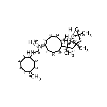 CC1CCCCC(NCN(C)C2CCCCC(C(C)(C)CC(C)(C)SC(C)(C)C)CCC2)CC1